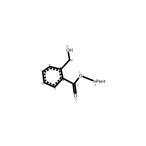 CCCCCOC(=O)c1ccccc1CO